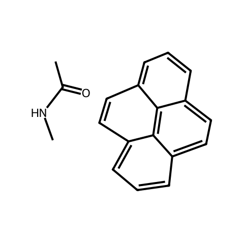 CNC(C)=O.c1cc2ccc3cccc4ccc(c1)c2c34